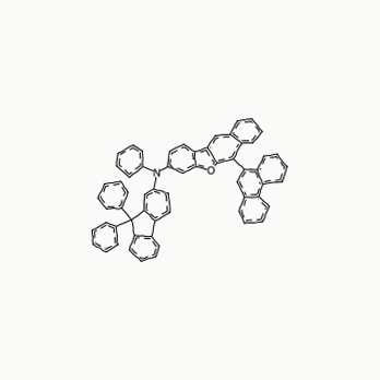 c1ccc(N(c2ccc3c(c2)C(c2ccccc2)(c2ccccc2)c2ccccc2-3)c2ccc3c(c2)oc2c(-c4cc5ccccc5c5ccccc45)c4ccccc4cc23)cc1